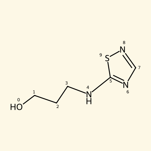 OCCCNc1ncns1